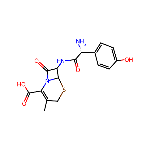 CC1=C(C(=O)O)N2C(=O)C(NC(=O)[C@H](N)c3ccc(O)cc3)C2SC1